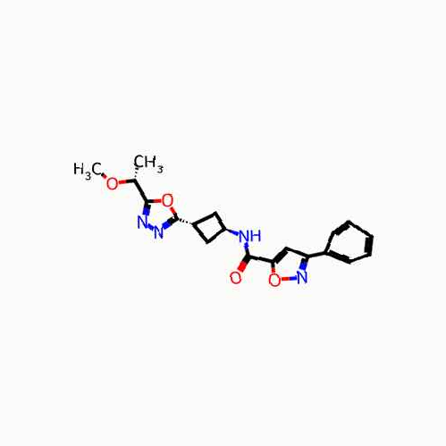 CO[C@H](C)c1nnc([C@H]2C[C@H](NC(=O)c3cc(-c4ccccc4)no3)C2)o1